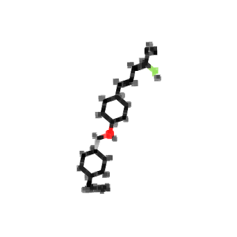 CCCCCCC[C@H]1CC[C@H](COC2CCC(C=CC=C(F)C#N)CC2)CC1